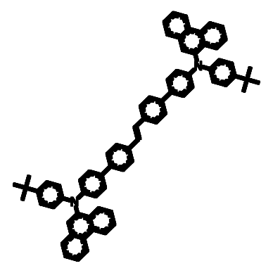 CC(C)(C)c1ccc(N(c2ccc(-c3ccc(/C=C/c4ccc(-c5ccc(N(c6ccc(C(C)(C)C)cc6)c6cc7ccccc7c7ccccc67)cc5)cc4)cc3)cc2)c2cc3ccccc3c3ccccc23)cc1